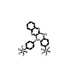 FS(F)(F)(F)(F)c1ccc(Nc2nc3ccccc3nc2Nc2ccc(S(F)(F)(F)(F)F)cc2)cc1